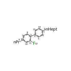 CCCCCCCc1ccc(-c2ccc(CCC)cc2F)cc1